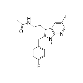 CC(=O)NCCc1c(Cc2ccc(F)cc2)n(C)c2ncc(I)cc12